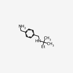 CCC(C)(C)NCc1ccc(CN)cc1